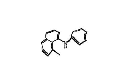 Cc1cccc2cccc(Nc3ccccc3)c12